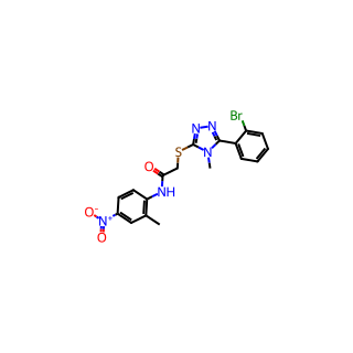 Cc1cc([N+](=O)[O-])ccc1NC(=O)CSc1nnc(-c2ccccc2Br)n1C